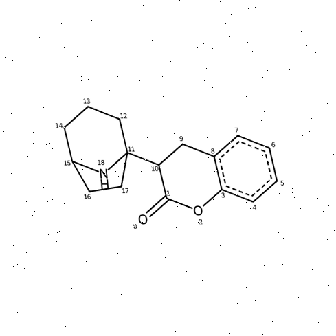 O=C1Oc2ccccc2CC1C12CCCC(CC1)N2